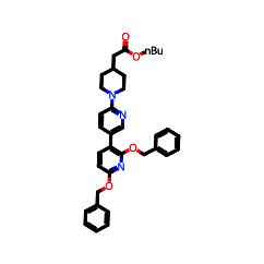 CCCCOC(=O)CC1CCN(c2ccc(-c3ccc(OCc4ccccc4)nc3OCc3ccccc3)cn2)CC1